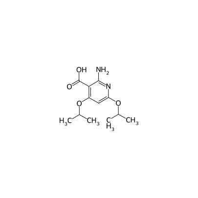 CC(C)Oc1cc(OC(C)C)c(C(=O)O)c(N)n1